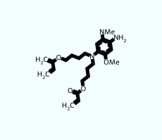 C=CC(=C)OCCCCN(CCCCOC(=O)C=C)c1cc(NC)c(N)cc1OC